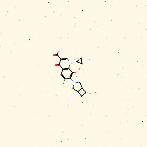 COc1c(N2C[C@H]3[C@@H](C)C[C@@]3(N)C2)c(F)cc2c(=O)c(C(=O)O)cn([C@@H]3C[C@@H]3F)c12